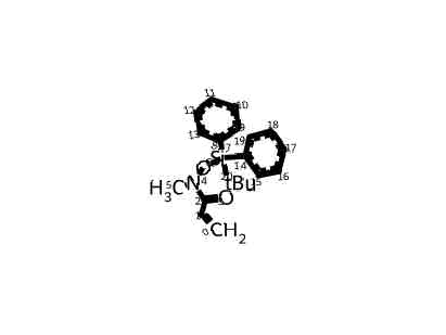 C=CC(=O)N(C)O[Si](c1ccccc1)(c1ccccc1)C(C)(C)C